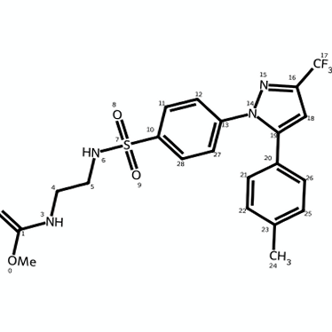 COC(=O)NCCNS(=O)(=O)c1ccc(-n2nc(C(F)(F)F)cc2-c2ccc(C)cc2)cc1